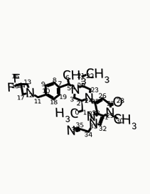 CC[C@H]1CN(C(C)c2ccc(CN3CC(F)(F)C3)cc2)[C@H](CC)CN1c1cc(=O)n(C)c2cn(CC#N)nc12